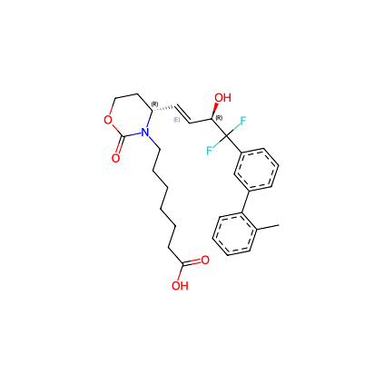 Cc1ccccc1-c1cccc(C(F)(F)[C@H](O)/C=C/[C@H]2CCOC(=O)N2CCCCCCC(=O)O)c1